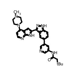 CN1CCN(c2ccnc3[nH]c(-c4n[nH]c5ccc(-c6cncc(NC(=O)CC(C)(C)C)c6)cc45)cc23)CC1